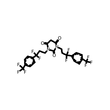 O=C1CC(=O)N(CCC(F)(F)c2ccc(C(F)(F)F)cc2)C(=O)N1CCC(F)(F)c1ccc(C(F)(F)F)cc1